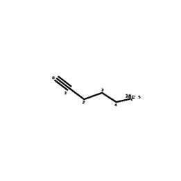 C#CCCC[18F]